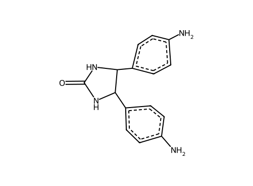 Nc1ccc(C2NC(=O)NC2c2ccc(N)cc2)cc1